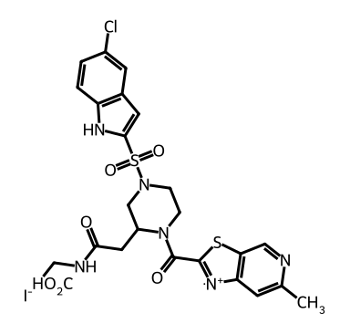 Cc1cc2c(cn1)SC(C(=O)N1CCN(S(=O)(=O)c3cc4cc(Cl)ccc4[nH]3)CC1CC(=O)NCC(=O)O)=[N+]2.[I-]